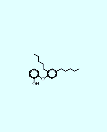 CCCCCc1ccc(Oc2ccccc2O)c(CCCCC)c1